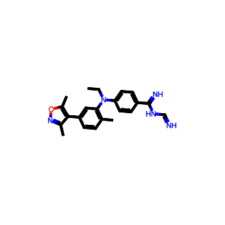 CCN(c1ccc(C(=N)NC=N)cc1)c1cc(-c2c(C)noc2C)ccc1C